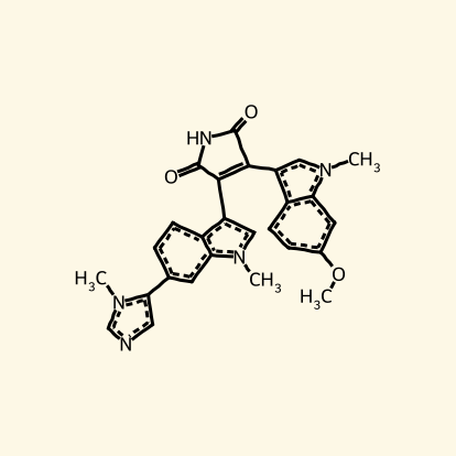 COc1ccc2c(C3=C(c4cn(C)c5cc(-c6cncn6C)ccc45)C(=O)NC3=O)cn(C)c2c1